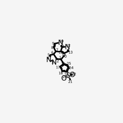 CC(C1=NN=CC1C1C=CN=C2N=CC=C21)c1ccc(S(C)(=O)=O)cc1